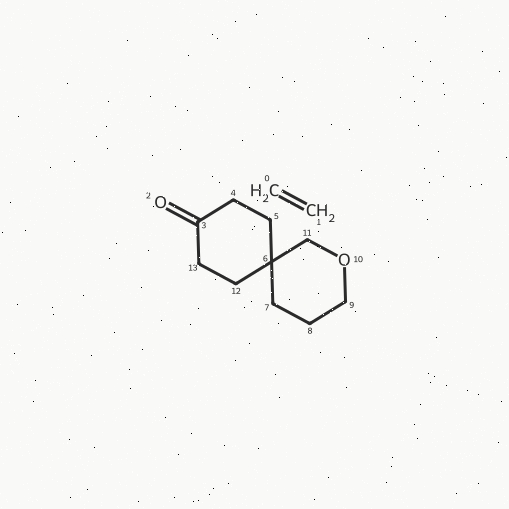 C=C.O=C1CCC2(CCCOC2)CC1